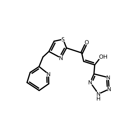 O=C(C=C(O)c1nn[nH]n1)c1nc(Cc2ccccn2)cs1